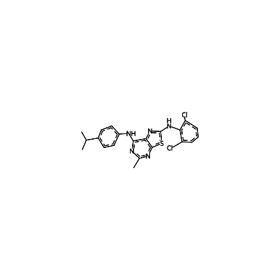 Cc1nc(Nc2ccc(C(C)C)cc2)c2nc(Nc3c(Cl)cccc3Cl)sc2n1